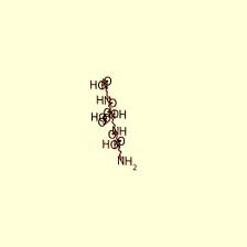 CC(=O)N(O)CCCCCNC(=O)CCC(=O)N(O)CCCCCNC(=O)CCC(=O)N(O)CCCCCN.CS(=O)(=O)O